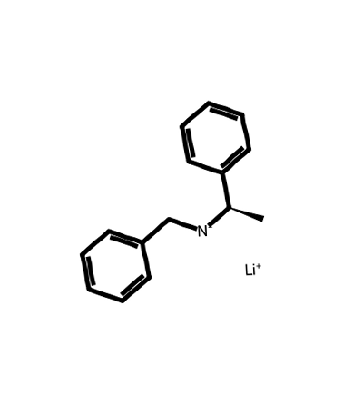 C[C@@H]([N-]Cc1ccccc1)c1ccccc1.[Li+]